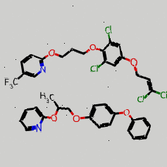 CC(COc1ccc(Oc2ccccc2)cc1)Oc1ccccn1.FC(F)(F)c1ccc(OCCCOc2c(Cl)cc(OCC=C(Cl)Cl)cc2Cl)nc1